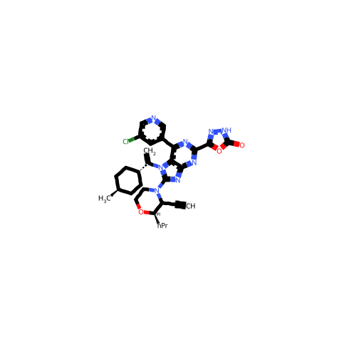 C#CC1[C@@H](CCC)OCCN1c1nc2nc(-c3n[nH]c(=O)o3)nc(-c3cncc(Cl)c3)c2n1C(=C)[C@H]1CC[C@H](C)CC1